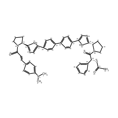 CN(C)c1ccc(C=CC(=O)N2CCC[C@H]2c2ncc(-c3ccc(-c4ccc(-c5cnc([C@@H]6CCCN6C(=O)[C@H](OC(N)=O)c6ccccc6)[nH]5)cc4)cc3)[nH]2)cc1